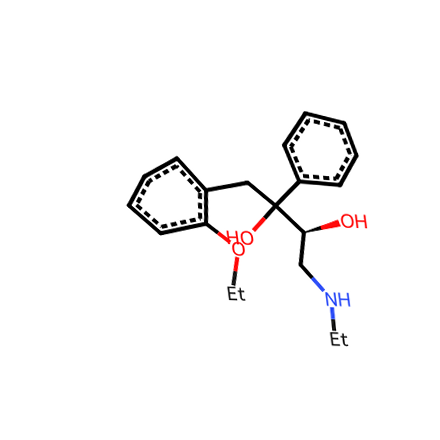 CCNC[C@H](O)C(O)(Cc1ccccc1OCC)c1ccccc1